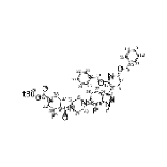 Cn1nc(-c2ccc(OCc3ccccc3)nc2OCc2ccccc2)c2ccc(N3CCN(C(=O)C4CCN(C(=O)OC(C)(C)C)CC4F)CC3)c(F)c21